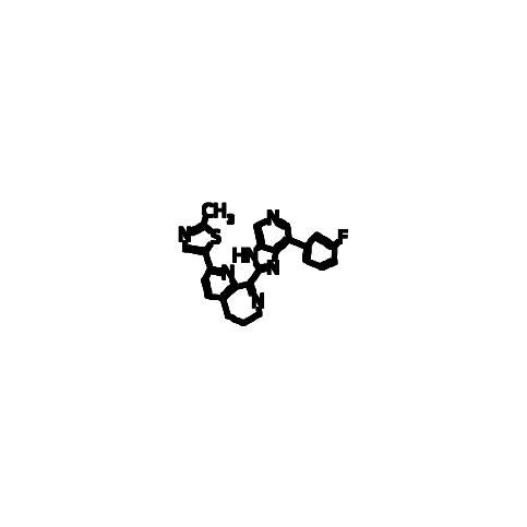 Cc1ncc(-c2ccc3c(n2)C(c2nc4c(-c5cccc(F)c5)cncc4[nH]2)=NCCC3)s1